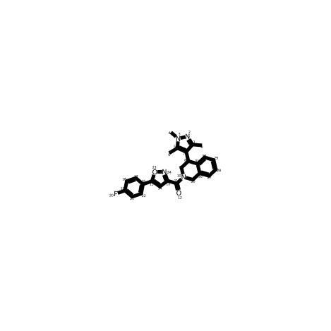 Cc1nn(C)c(C)c1C1CN(C(=O)c2cc(-c3ccc(F)cc3)on2)Cc2ccccc21